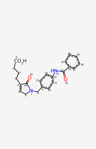 O=C(O)CCCC1=CCN(Cc2ccc(NC(=O)c3ccccc3)cc2)C1=O